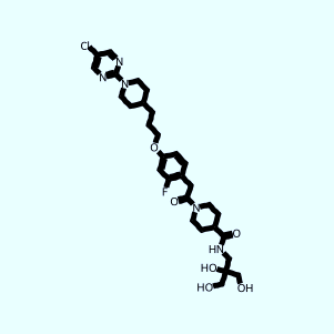 O=C(NCC(O)(CO)CO)C1CCN(C(=O)Cc2ccc(OCCCC3CCN(c4ncc(Cl)cn4)CC3)cc2F)CC1